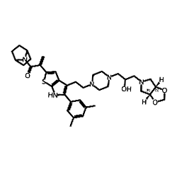 C=C(C(=O)N1C2CCC1CC2)c1cc2c(CCN3CCN(CC(O)CN4C[C@@H]5OCO[C@@H]5C4)CC3)c(-c3cc(C)cc(C)c3)[nH]c2s1